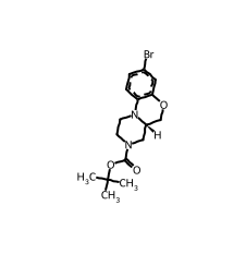 CC(C)(C)OC(=O)N1CCN2c3ccc(Br)cc3OC[C@@H]2C1